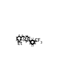 CCN1CCCC(CN2CCN(c3cccc(C(F)(F)F)c3)CC2)C1